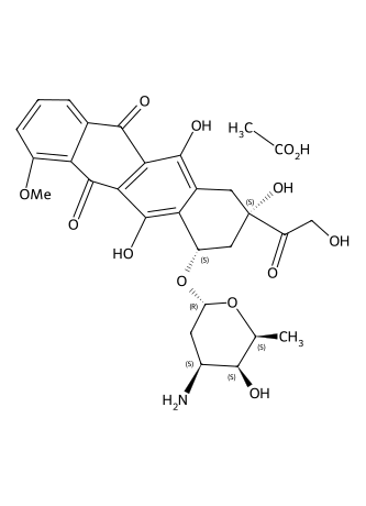 CC(=O)O.COc1cccc2c1C(=O)c1c(O)c3c(c(O)c1C2=O)C[C@@](O)(C(=O)CO)C[C@@H]3O[C@H]1C[C@H](N)[C@H](O)[C@H](C)O1